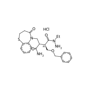 CCN(N)C(=O)[C@@H](COCc1ccccc1)C(CN1C(=O)CCSc2ccccc21)C(N)=O.Cl